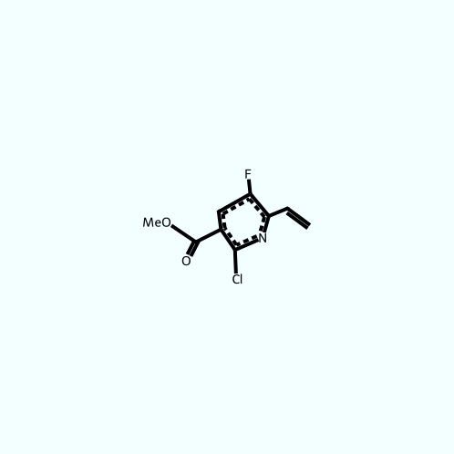 C=Cc1nc(Cl)c(C(=O)OC)cc1F